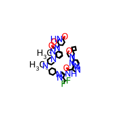 CN(C[C@H]1CC[C@H](n2cc(NC(=O)c3cnn4ccc(N5CCOC6(CCC6)C5)nc34)c(C(F)F)n2)CC1)C1CCN(c2cccc3c2n(C)c(=O)n3C2CCC(=O)NC2=O)CC1